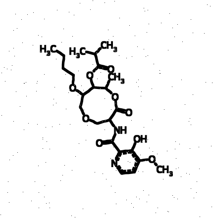 CCCCOC1COCC(NC(=O)c2nccc(OC)c2O)C(=O)OC(C)C1OC(=O)C(C)C